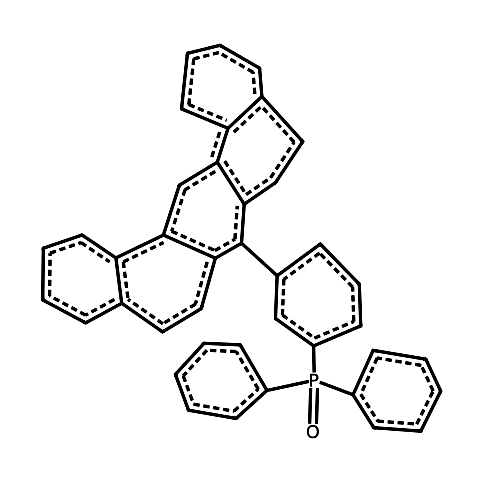 O=P(c1ccccc1)(c1ccccc1)c1cccc(-c2c3ccc4ccccc4c3cc3c2ccc2ccccc23)c1